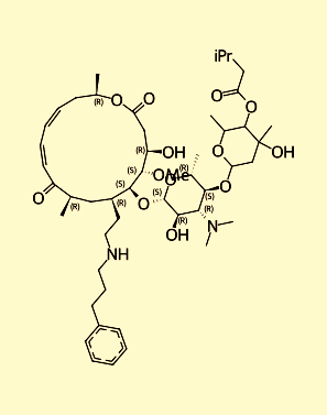 CO[C@@H]1[C@@H](O[C@@H]2O[C@H](C)[C@@H](OC3CC(C)(O)C(OC(=O)CC(C)C)C(C)O3)[C@H](N(C)C)[C@H]2O)[C@@H](CCNCCCc2ccccc2)C[C@@H](C)C(=O)C=CC=CC[C@@H](C)OC(=O)C[C@H]1O